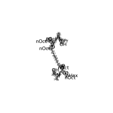 CCCCCCCCC(CCCCCC)CC(=O)OCC(CCCCN(CC=C(C)C)CCN(C)CCO)COC(=O)CC(CCCCCCCC)CCCCCCCCCCCCCCC(CCCCCCCC)CC(=O)OCC(CCCCN(CCN(CCO)CC(C)C)C1CCC1)COC(=O)CC(CCCCCCCC)CCCCCCCC